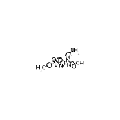 Cc1ccc(S(=O)(=O)n2ccc3c2ncc2nc(CC(=O)O)n(N4CC[C@@H](N)C4)c23)cc1